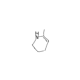 CC1=CCCCN1